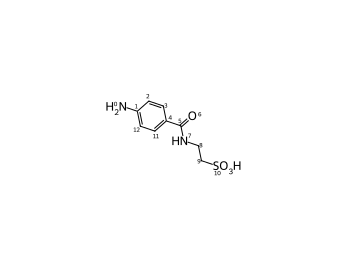 Nc1ccc(C(=O)NCCS(=O)(=O)O)cc1